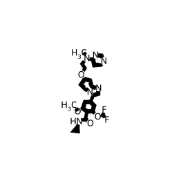 COc1cc(-c2cnc3cc(OCCN(C)c4ccncn4)ccn23)cc(OC(F)F)c1C(=O)NC1CC1